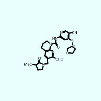 COC1CCN(Cc2cc3c(nc2C=O)N(C(=O)Nc2cc(S[C@H]4CCOC4)c(C#N)cn2)CCC3)C1=O